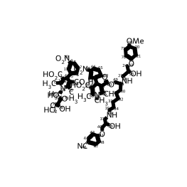 CC1=C(C(=O)O)C(c2cccc([N+](=O)[O-])c2)C(C(=O)O)=C(C)N1C.COc1ccc(OCC(O)CNC(CCCCCCNCC(O)COc2ccc(C#N)cc2)COC(=O)C2=C(C)N(C)C(C)=C(C(=O)O)C2c2cccc([N+](=O)[O-])c2)cc1.Cl.O=C(O)C(=O)O